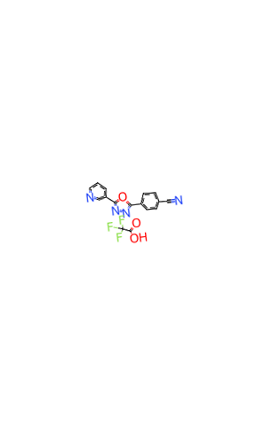 N#Cc1ccc(-c2nnc(-c3cccnc3)o2)cc1.O=C(O)C(F)(F)F